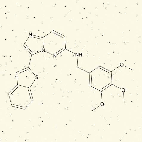 COc1cc(CNc2ccc3ncc(-c4cc5ccccc5s4)n3n2)cc(OC)c1OC